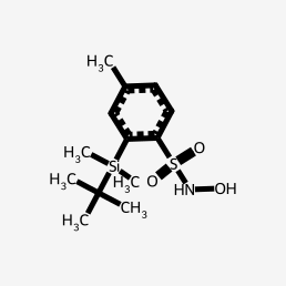 Cc1ccc(S(=O)(=O)NO)c([Si](C)(C)C(C)(C)C)c1